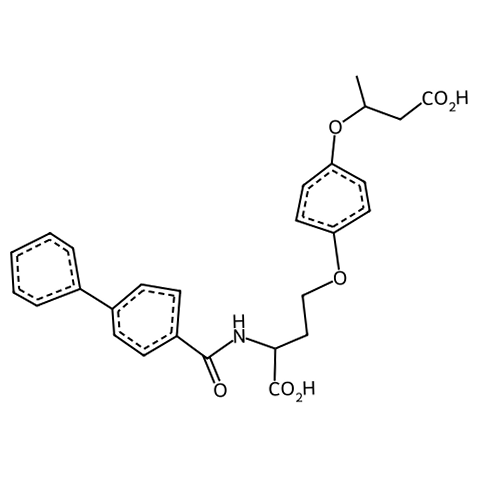 CC(CC(=O)O)Oc1ccc(OCCC(NC(=O)c2ccc(-c3ccccc3)cc2)C(=O)O)cc1